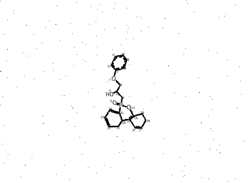 O=P1(CC(O)COc2ccccc2)OC2=C(C=CCC2)C2CC=CC=C21